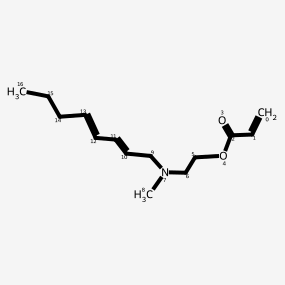 C=CC(=O)OCCN(C)CC=CC=CCCC